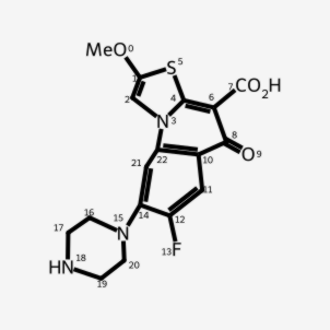 COc1cn2c(s1)c(C(=O)O)c(=O)c1cc(F)c(N3CCNCC3)cc12